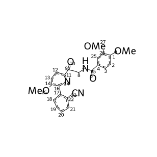 COc1ccc(C(=O)NCC(=O)c2ccc(OC)c(-c3ccccc3C#N)n2)cc1OC